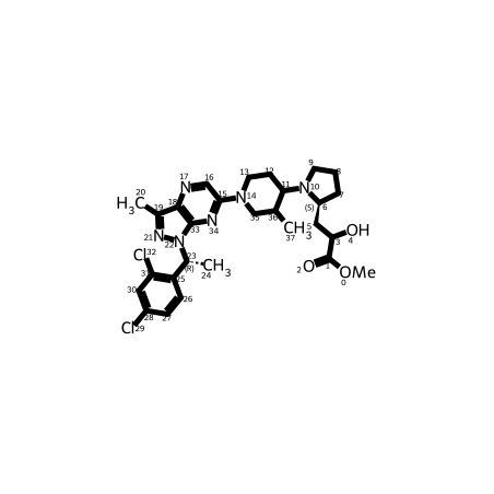 COC(=O)C(O)C[C@@H]1CCCN1C1CCN(c2cnc3c(C)nn([C@H](C)c4ccc(Cl)cc4Cl)c3n2)CC1C